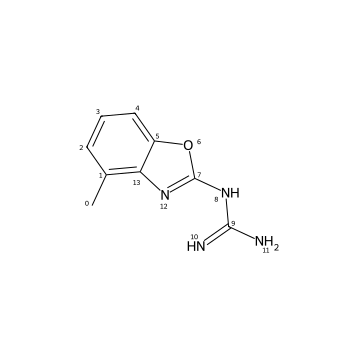 Cc1cccc2oc(NC(=N)N)nc12